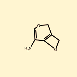 NC1=COCC2=C1OC2